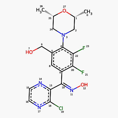 C[C@@H]1CN(c2c(CO)cc(/C(=N\O)c3nccnc3Cl)c(F)c2F)C[C@H](C)O1